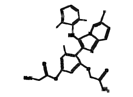 CNCC(=O)Oc1cc(C)c(-c2nc3ccc(F)cn3c2Nc2c(C)cccc2C)c(OCC(N)=O)c1